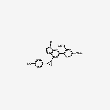 COc1ncc(-c2cc([C@H]3C[C@@H]3c3ccc(C#N)nc3)c3ncc(F)n3n2)c(OC)n1